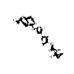 CC1(NC(=O)O[C@@H]2CO[C@H](c3cc(Nc4nccc5nc(CC(F)(F)F)cn45)n[nH]3)[C@@H]2F)CC1